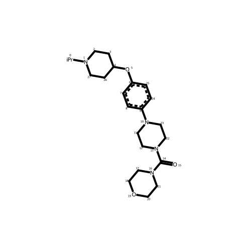 CC(C)N1CCC(Oc2ccc(N3CCN(C(=O)N4CCOCC4)CC3)cc2)CC1